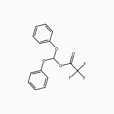 O=C(OC(Oc1ccccc1)Oc1ccccc1)C(F)(F)F